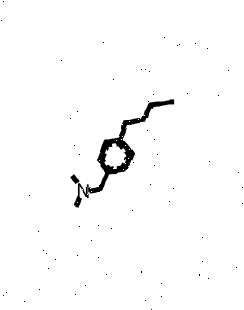 CCCCc1ccc(CN(C)C)cc1